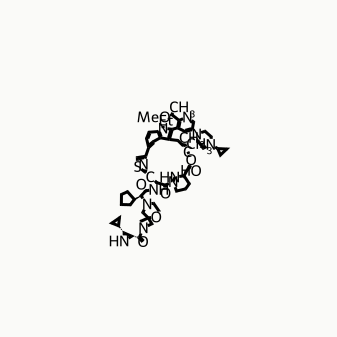 CCn1c(-c2cc(N3CCN(C4CC4)CC3)cnc2[C@H](C)OC)c2c3cc(ccc31)-c1csc(n1)C[C@H](NC(=O)[C@H](C1CCCC1)N1CCOC3(CN(C(=O)[C@@H]4N[C@@H]4C4CC4)C3)C1)C(=O)N1CCC[C@H](N1)C(=O)OCC(C)(C)C2